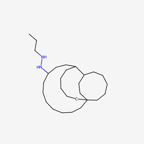 CCCNNC1CCCCCCCC23CCCCCC(CC1)C(CCCCC2)CC3